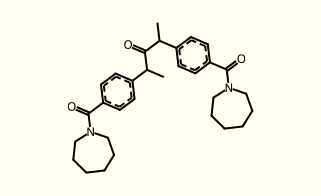 CC(C(=O)C(C)c1ccc(C(=O)N2CCCCCC2)cc1)c1ccc(C(=O)N2CCCCCC2)cc1